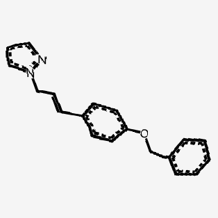 C(=Cc1ccc(OCc2ccccc2)cc1)Cn1cccn1